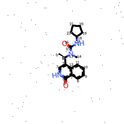 C[C@H](c1c[nH]c(=O)c2ccccc12)N(C)C(=O)NC1CCCC1